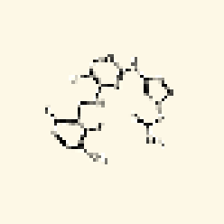 Cc1ccc(F)c(CNc2nc(Nc3cnn(CC(N)=O)c3)ncc2Cl)c1F